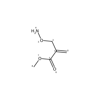 C=C(CON)C(=O)OC